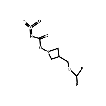 O=C(N=S(=O)=O)ON1CC(COC(F)F)C1